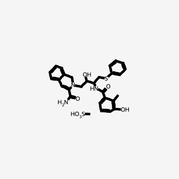 CS(=O)(=O)O.Cc1c(O)cccc1C(=O)NC(CSc1ccccc1)C(O)CN1Cc2ccccc2C=C1C(N)=O